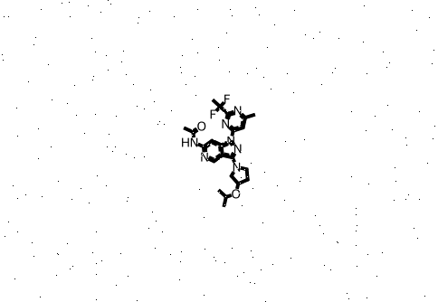 CC(=O)Nc1cc2c(cn1)c(N1CCC(OC(C)C)C1)nn2-c1cc(C)nc(C(C)(F)F)n1